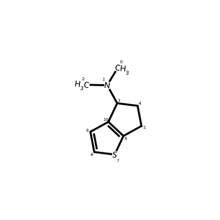 CN(C)C1CCc2sccc21